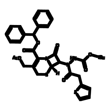 CC(=O)OCC1=C(C(=O)OC(c2ccccc2)c2ccccc2)N2C(=O)C(N(NC(=O)OC(C)(C)C)C(=O)Cc3cccs3)[C@@H]2SC1